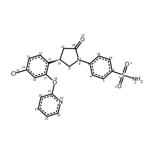 NS(=O)(=O)c1ccc(N2C[C@@H](c3ccc(Cl)cc3Oc3ccccn3)CC2=O)cc1